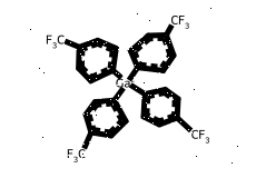 FC(F)(F)c1cc[c]([Ga-]([c]2ccc(C(F)(F)F)cc2)([c]2ccc(C(F)(F)F)cc2)[c]2ccc(C(F)(F)F)cc2)cc1